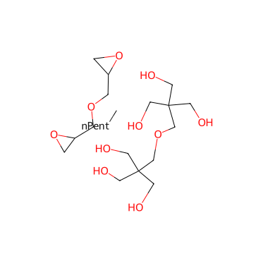 C(OCC1CO1)C1CO1.CCCCCC.OCC(CO)(CO)COCC(CO)(CO)CO